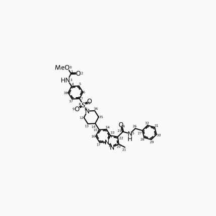 COC(=O)Nc1ccc(S(=O)(=O)N2CCC(c3ccn4nc(C)c(C(=O)NCc5ccccc5)c4c3)CC2)cc1